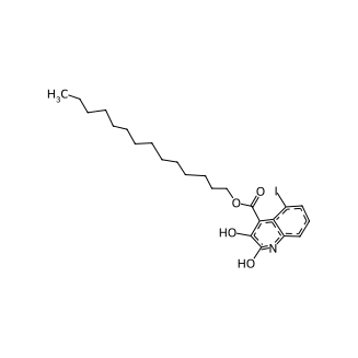 CCCCCCCCCCCCCCOC(=O)c1c(O)c(O)nc2cccc(I)c12